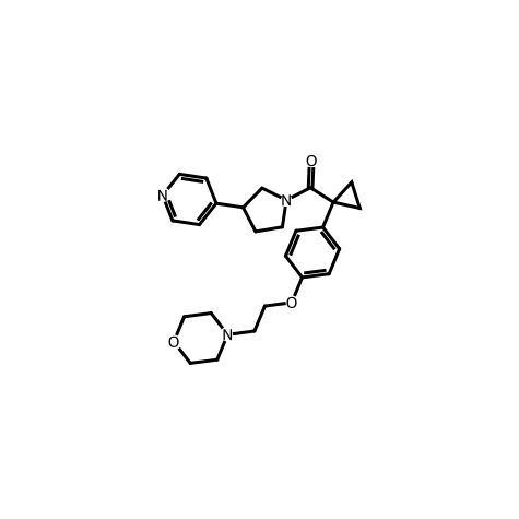 O=C(N1CCC(c2ccncc2)C1)C1(c2ccc(OCCN3CCOCC3)cc2)CC1